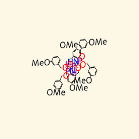 COc1cccc(COP(N[PH](N=[PH](OCc2cccc(OC)c2)OCc2cccc(OC)c2)(OCc2cccc(OC)c2)OCc2cccc(OC)c2)OCc2cccc(OC)c2)c1